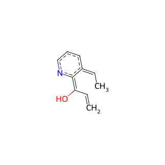 C=C/C(O)=c1/nccc/c1=C/C